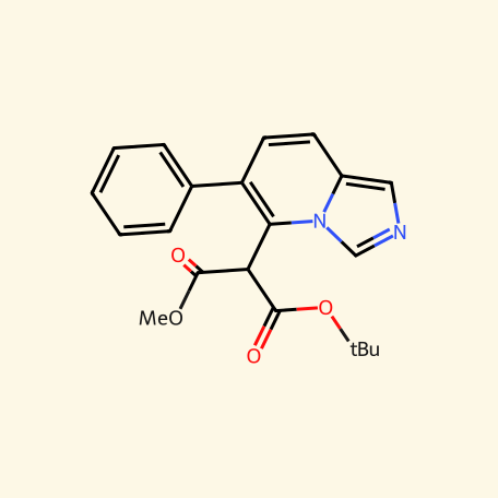 COC(=O)C(C(=O)OC(C)(C)C)c1c(-c2ccccc2)ccc2cncn12